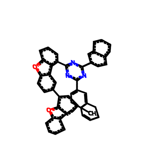 CC12C=CCCC1=CC(c1nc(-c3ccc4ccccc4c3)nc(-c3cccc4oc5ccc(-c6cccc7c6oc6ccccc67)cc5c34)n1)=CC2